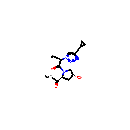 COC(=O)[C@@H]1C[C@@H](O)CN1C(=O)C(n1cc(C2CC2)nn1)C(C)(C)C